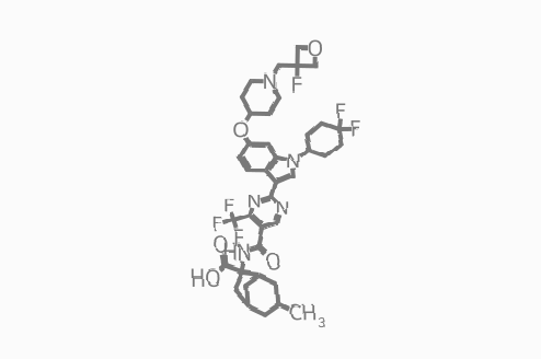 CC1CC2CC(C1)C(NC(=O)c1cnc(-c3cn(C4CCC(F)(F)CC4)c4cc(OC5CCN(CC6(F)COC6)CC5)ccc34)nc1C(F)(F)F)(C(=O)O)C2